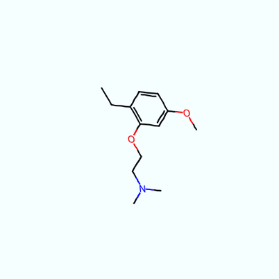 CCc1ccc(OC)cc1OCCN(C)C